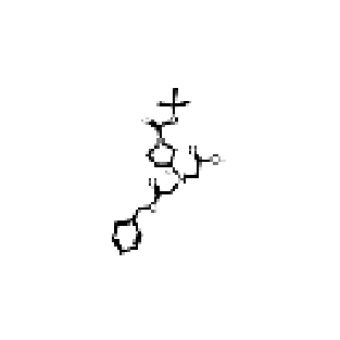 CC(C)(C)OC(=O)N1CC[C@H](N(CC(=O)O)CC(=O)OCc2ccccc2)C1